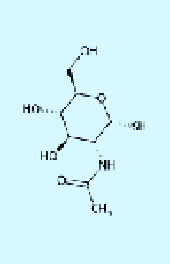 CC(=O)N[C@@H]1[C@@H](O)[C@H](O)[C@@H](CO)O[C@@H]1S